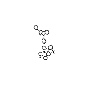 CC1(C)c2ccccc2-c2c(N(c3ccc(-c4ccc(-n5c6ccccc6c6cc(-c7ccccc7)ccc65)cc4)cc3)c3cccc4c3-c3ccccc3C4(C)C)cccc21